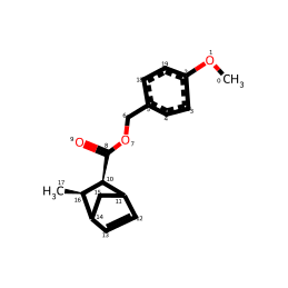 COc1ccc(COC(=O)[C@H]2C3C=CC(C3)[C@H]2C)cc1